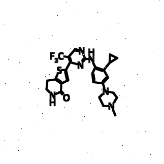 CN1CCN(c2ccc(Nc3ncc(C(F)(F)F)c(-c4cc5c(s4)CCNC5=O)n3)c(C3CC3)c2)CC1